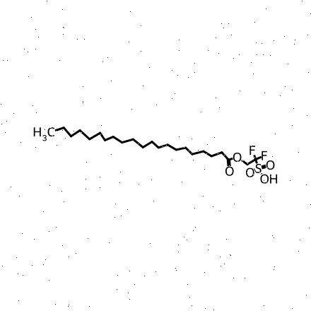 CCCCCCCCCCCCCCCCCCCCC(=O)OCC(F)(F)S(=O)(=O)O